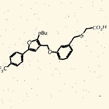 CCCCc1oc(-c2ccc(C(F)(F)F)cc2)cc1COc1cccc(CSCC(=O)O)c1